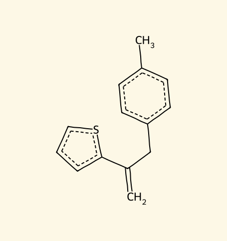 C=C(Cc1ccc(C)cc1)c1cccs1